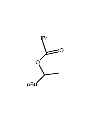 CCCCC(C)OC(=O)C(C)C